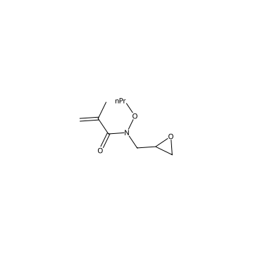 C=C(C)C(=O)N(CC1CO1)OCCC